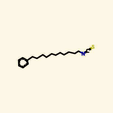 S=C=NCCCCCCCCCCCc1ccccc1